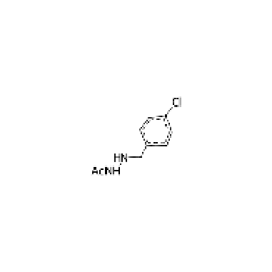 CC(=O)NNCc1ccc(Cl)cc1